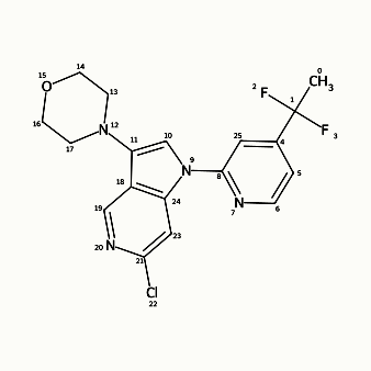 CC(F)(F)c1ccnc(-n2cc(N3CCOCC3)c3cnc(Cl)cc32)c1